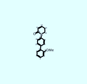 COc1ccccc1-c1ccc(N2CCC=CC2=O)cc1